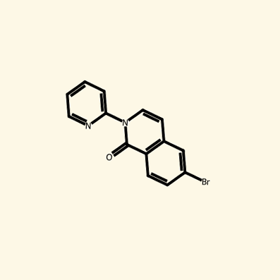 O=c1c2ccc(Br)cc2ccn1-c1ccccn1